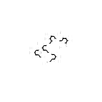 COCC1O[C@H](OCC2O[C@H](OCC3O[C@H](OCC4O[C@H](OC)C(O)[C@@H](O)[C@@H]4O)C(O)[C@@H](O)[C@@H]3O)C(O)[C@@H](O[C@@H]3OC(CO)[C@@H](O)[C@H](O)C3O)[C@@H]2O)C(O)[C@@H](O)[C@@H]1O